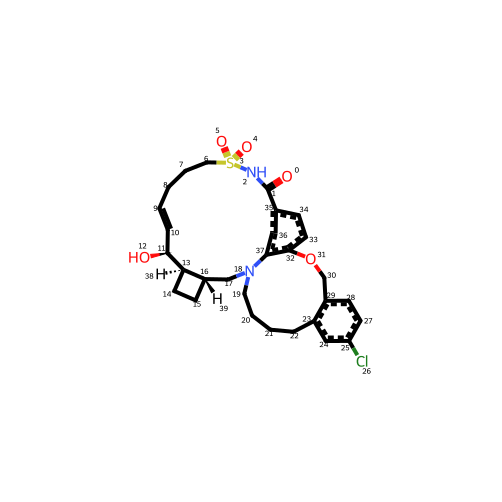 O=C1NS(=O)(=O)CCC/C=C/[C@H](O)[C@@H]2CC[C@H]2CN2CCCCc3cc(Cl)ccc3COc3ccc1cc32